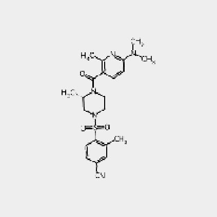 Cc1cc(C#N)ccc1S(=O)(=O)N1CCN(C(=O)c2ccc(N(C)C)nc2C)[C@@H](C)C1